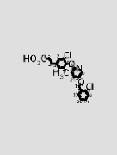 Cc1cc(C=CC(=O)O)cc(Cl)c1Oc1ccc(OCc2ccccc2Cl)cn1